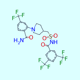 NC(=O)c1ccc(C(F)(F)F)cc1N1CCC(CS(=O)(=O)NC(=O)c2cc(C(F)(F)F)cc(C(F)(F)F)c2)CC1